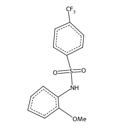 COc1ccccc1NS(=O)(=O)c1ccc(C(F)(F)F)cc1